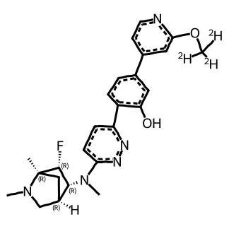 [2H]C([2H])([2H])Oc1cc(-c2ccc(-c3ccc(N(C)[C@@H]4[C@H]5CN(C)[C@](C)(C5)[C@@H]4F)nn3)c(O)c2)ccn1